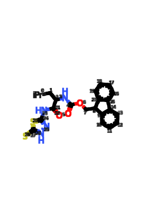 CC(C)CC(NC(=O)OCC1c2ccccc2-c2ccccc21)C(=O)Nc1n[nH]c(=S)s1